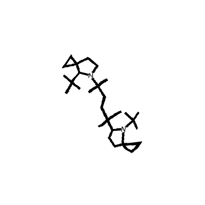 CC(C)(C)C1N(C(C)(C)CCC(C)(C)C2CCC3(CC3)N2C(C)(C)C)CCC12CC2